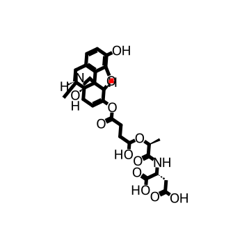 C[C@H](OC(O)CCC(=O)OC1=CC[C@@]2(O)[C@H]3Cc4ccc(O)c5c4C2(CCN3C)[C@H]1O5)C(=O)N[C@H](CC(=O)O)C(=O)O